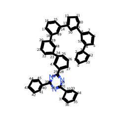 c1ccc(-c2cccc(-c3cccc(-c4cccc(-c5cccc(-c6cccc(-c7nc(-c8ccccc8)nc(-c8ccccc8)n7)c6)c5)c4)c3)c2)cc1